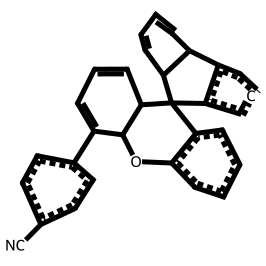 N#Cc1ccc(C2=CC=CC3C2Oc2ccccc2C32c3ccccc3C3C=CC=CC32)cc1